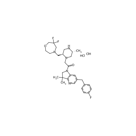 C[C@@H]1CN(CC(=O)N2CC(C)(C)c3ncc(Cc4ccc(F)cc4)cc32)[C@@H](CN2CCOCC(F)(F)C2)CN1.Cl.Cl